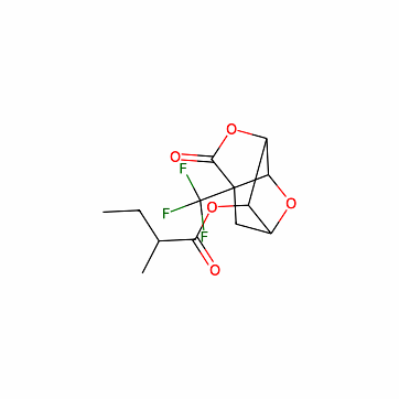 CCC(C)C(=O)OC1C2CC3(C(F)(F)F)C(=O)OC1C3O2